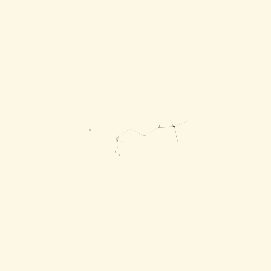 CC1(C)OC1CC[C@H](N)C=O